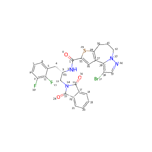 O=C(N[C@@H](Cc1cccc(F)c1F)CN1C(=O)c2ccccc2C1=O)c1cc2c(s1)CCCn1ncc(Br)c1-2